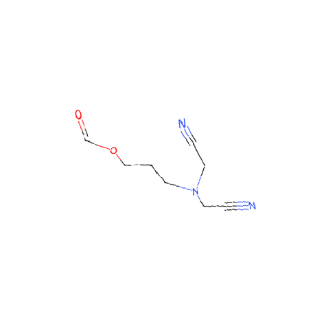 N#CCN(CC#N)CCCOC=O